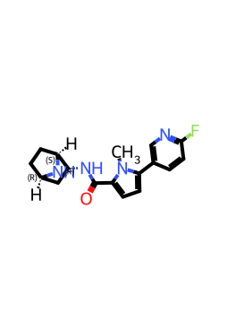 Cn1c(C(=O)N[C@@H]2C[C@H]3CC[C@@H]2N3)ccc1-c1ccc(F)nc1